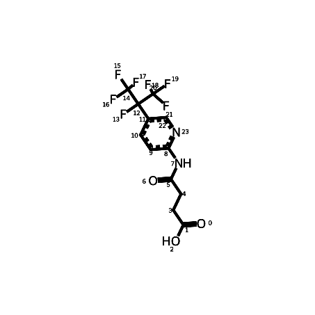 O=C(O)CCC(=O)Nc1ccc(C(F)(C(F)(F)F)C(F)(F)F)cn1